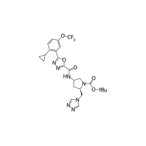 CC(C)(C)OC(=O)N1CC(NC(=O)c2nnc(-c3cc(OC(F)(F)F)ccc3C3CC3)o2)C[C@@H]1Cn1cnnc1